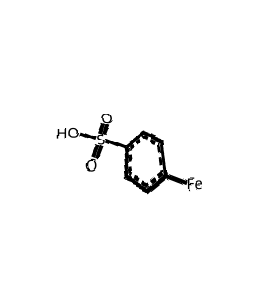 O=S(=O)(O)c1cc[c]([Fe])cc1